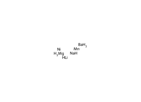 [BaH2].[LiH].[MgH2].[Mn].[NaH].[Ni]